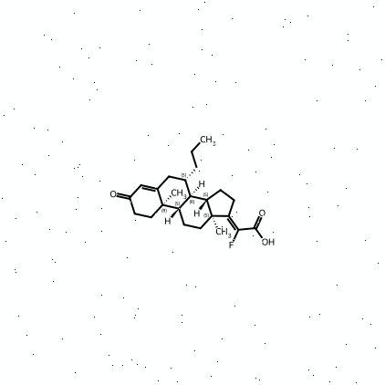 CCC[C@H]1CC2=CC(=O)CC[C@]2(C)[C@H]2CC[C@]3(C)C(=C(F)C(=O)O)CC[C@H]3[C@H]12